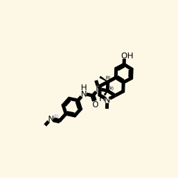 C/N=C/c1ccc(NC(=O)N(C)[C@H]2C3Cc4ccc(O)cc4[C@@]2(C)CCN3C)cc1